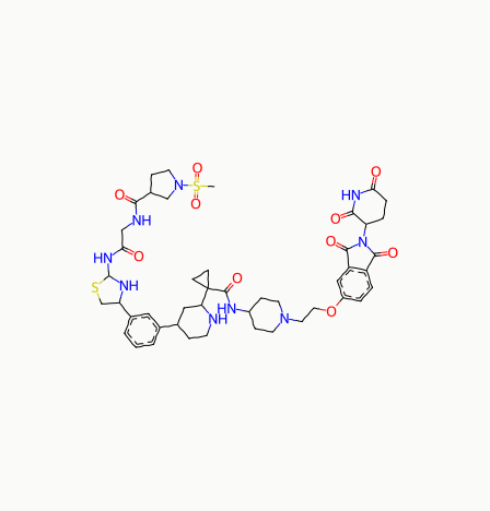 CS(=O)(=O)N1CCC(C(=O)NCC(=O)NC2NC(c3cccc(C4CCNC(C5(C(=O)NC6CCN(CCOc7ccc8c(c7)C(=O)N(C7CCC(=O)NC7=O)C8=O)CC6)CC5)C4)c3)CS2)C1